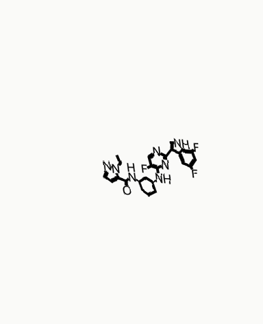 CCn1nccc1C(=O)N[C@@H]1CCC[C@H](Nc2nc(-c3c[nH]c4c(F)cc(F)cc34)ncc2F)C1